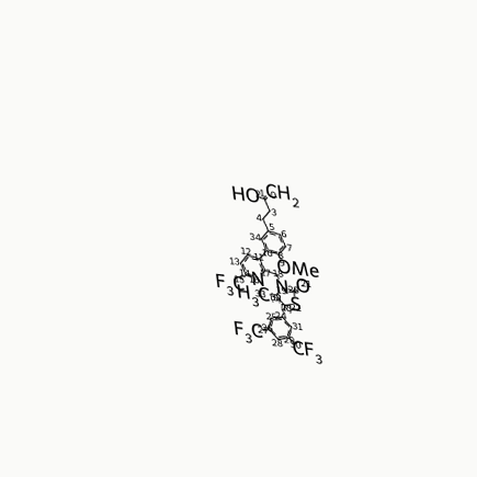 C=C(O)CCc1ccc(OC)c(-c2ccc(C(F)(F)F)nc2CN2C(=O)S[C@H](c3cc(C(F)(F)F)cc(C(F)(F)F)c3)[C@@H]2C)c1